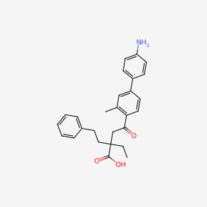 CCC(CCc1ccccc1)(CC(=O)c1ccc(-c2ccc(N)cc2)cc1C)C(=O)O